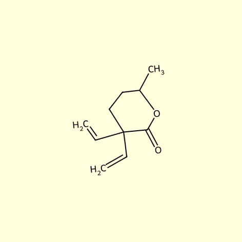 C=CC1(C=C)CCC(C)OC1=O